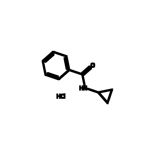 Cl.O=C(NC1CC1)c1ccccc1